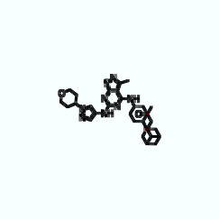 CC(=O)CCC1C2CC1CN(C1CCC(Nc3nc(Nc4cnn(C5CCOCC5)c4)nc4snc(C)c34)CC1)C2